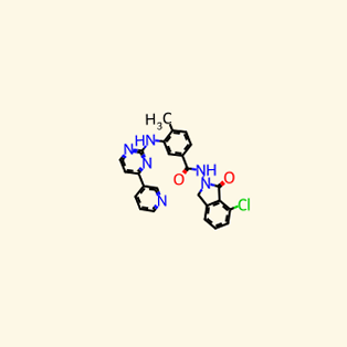 Cc1ccc(C(=O)NN2Cc3cccc(Cl)c3C2=O)cc1Nc1nccc(-c2cccnc2)n1